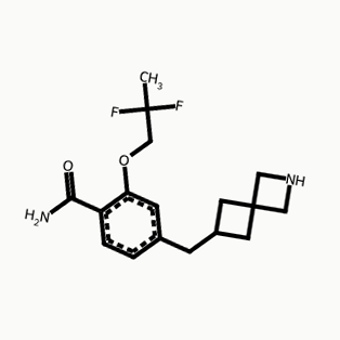 CC(F)(F)COc1cc(CC2CC3(CNC3)C2)ccc1C(N)=O